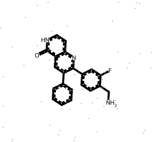 NCc1ccc(-c2nc3cc[nH]c(=O)c3cc2-c2ccccc2)cc1F